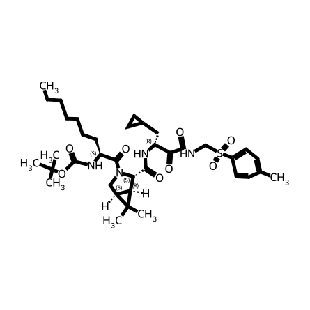 CCCCCCC[C@H](NC(=O)OC(C)(C)C)C(=O)N1C[C@H]2[C@@H]([C@H]1C(=O)N[C@H](CC1CC1)C(=O)C(=O)NCS(=O)(=O)c1ccc(C)cc1)C2(C)C